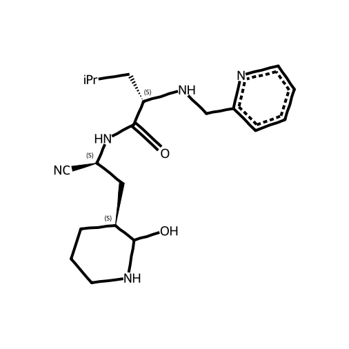 CC(C)C[C@H](NCc1ccccn1)C(=O)N[C@H](C#N)C[C@@H]1CCCNC1O